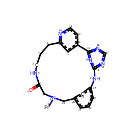 CC(C)N1CC(=O)NCCCc2cc(ccn2)-c2ncnc(n2)Nc2cccc(c2)C1